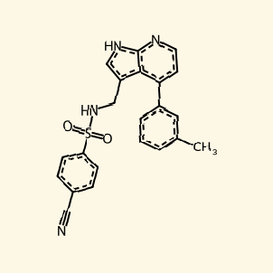 Cc1cccc(-c2ccnc3[nH]cc(CNS(=O)(=O)c4ccc(C#N)cc4)c23)c1